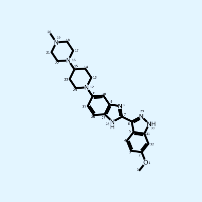 COc1ccc2c(-c3nc4cc(N5CCC(N6CCN(C)CC6)CC5)ccc4[nH]3)n[nH]c2c1